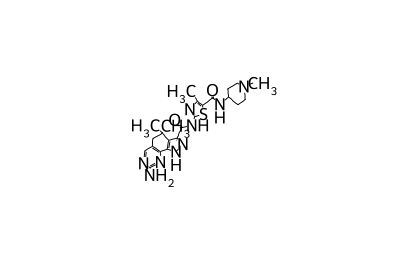 Cc1nc(NC(=O)c2n[nH]c3c2C(C)(C)Cc2cnc(N)nc2-3)sc1C(=O)NC1CCN(C)CC1